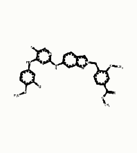 COC(=O)c1ccc(Cn2cc3ccc(Nc4ncc(F)c(Nc5ccc(OC)c(Cl)c5)n4)cc3n2)c(OC)c1